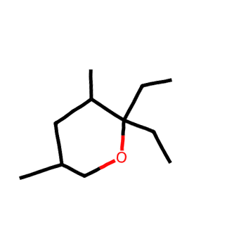 CCC1(CC)OCC(C)CC1C